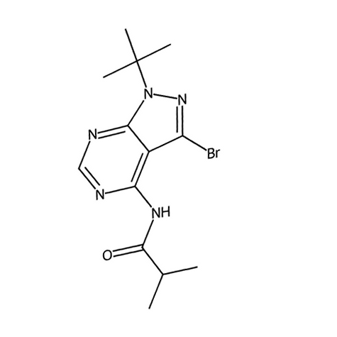 CC(C)C(=O)Nc1ncnc2c1c(Br)nn2C(C)(C)C